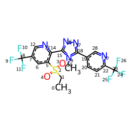 CCS(=O)(=O)c1cc(C(F)(F)F)cnc1-c1nnc(-c2ccc(C(F)(F)F)nc2)n1C